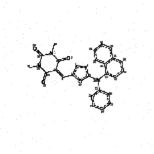 CN1C(=O)C(=Cc2ccc(N(c3ccccc3)c3cccc4ccccc34)o2)C(=O)N(C)C1=O